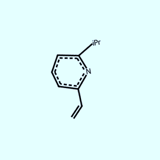 C=Cc1cccc(C(C)C)n1